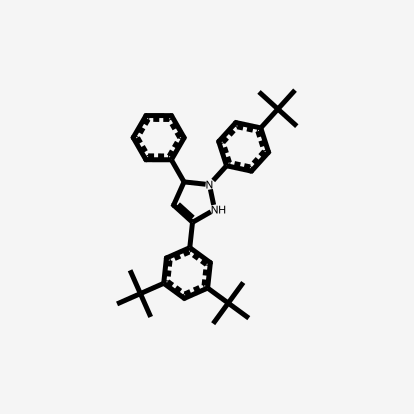 CC(C)(C)c1ccc(N2NC(c3cc(C(C)(C)C)cc(C(C)(C)C)c3)=CC2c2ccccc2)cc1